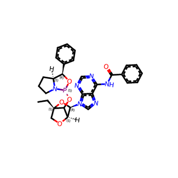 CC[C@]12CO[C@@H](C1O[P@@]1O[C@H](c3ccccc3)[C@@H]3CCCN31)[C@H](n1cnc3c(NC(=O)c4ccccc4)ncnc31)O2